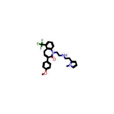 COc1ccc(C2=CCc3c(cccc3C(F)(F)F)N(CCNCCc3cccn3C)C2=O)cc1